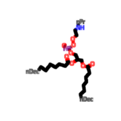 CCCCCCCCCCCCCCCCC(=O)OCC(CO[PH](=O)OOCCNCCC)OC(=O)CCCCCCCCCCCCCCCC